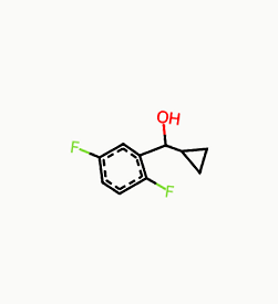 OC(c1cc(F)ccc1F)C1CC1